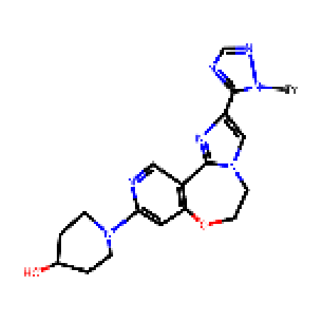 CC(C)n1ncnc1-c1cn2c(n1)-c1cnc(N3CCC(O)CC3)cc1OCC2